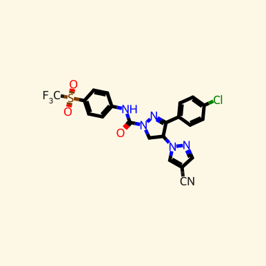 N#Cc1cnn(C2CN(C(=O)Nc3ccc(S(=O)(=O)C(F)(F)F)cc3)N=C2c2ccc(Cl)cc2)c1